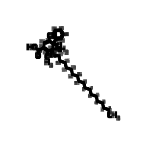 CCCCCCCCCCCCCCCCCCNC1(N)C(C)=C(C(=O)O)C=C(C)C1(Cl)c1ccccc1